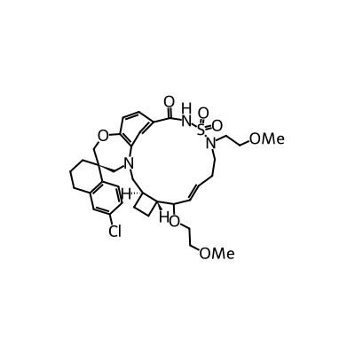 COCCOC1/C=C/CCN(CCOC)S(=O)(=O)NC(=O)c2ccc3c(c2)N(C[C@@H]2CC[C@@H]12)C[C@@]1(CCCc2cc(Cl)ccc21)CO3